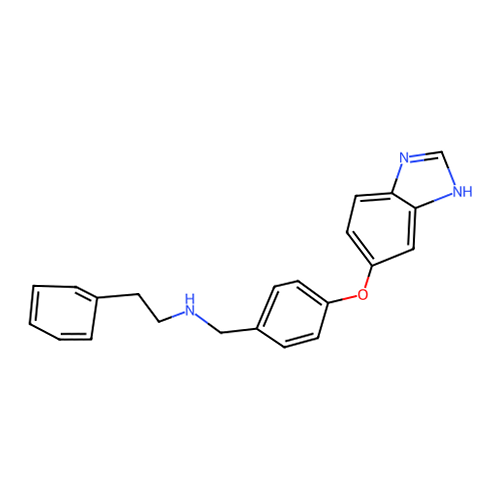 c1ccc(CCNCc2ccc(Oc3ccc4nc[nH]c4c3)cc2)cc1